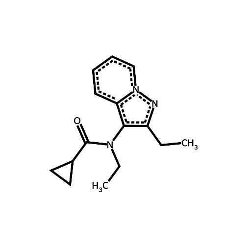 CCc1nn2ccccc2c1N(CC)C(=O)C1CC1